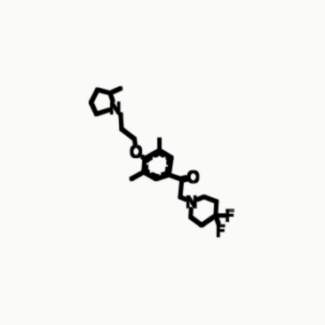 Cc1cc(C(=O)CN2CCC(F)(F)CC2)cc(C)c1OCCCN1CCCC1C